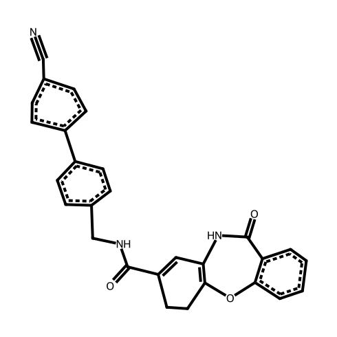 N#Cc1ccc(-c2ccc(CNC(=O)C3=CC4=C(CC3)Oc3ccccc3C(=O)N4)cc2)cc1